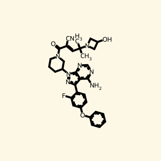 CC(C)(C=C(C#N)C(=O)N1CCCC(n2nc(-c3ccc(Oc4ccccc4)cc3F)c3c(N)ncnc32)C1)N1CC(O)C1